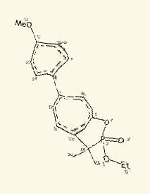 CCOP1(=O)Oc2cc(-c3ccc(OC)cc3)ccc2C1(C)C